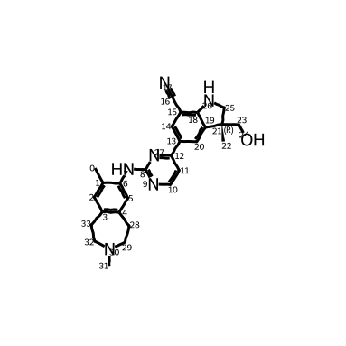 Cc1cc2c(cc1Nc1nccc(-c3cc(C#N)c4c(c3)[C@@](C)(CO)CN4)n1)CCN(C)CC2